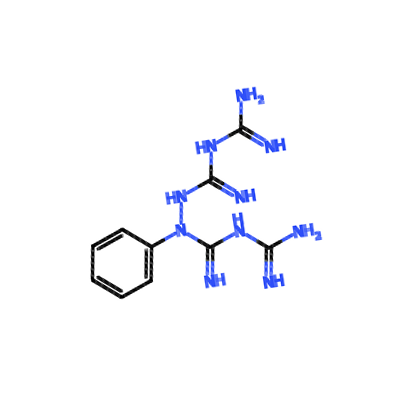 N=C(N)NC(=N)NN(C(=N)NC(=N)N)c1ccccc1